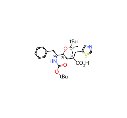 CC(C)(C)OC(=O)N[C@@H](Cc1ccccc1)[C@H](C[C@@H](Cc1cncs1)C(=O)O)O[Si](C)(C)C(C)(C)C